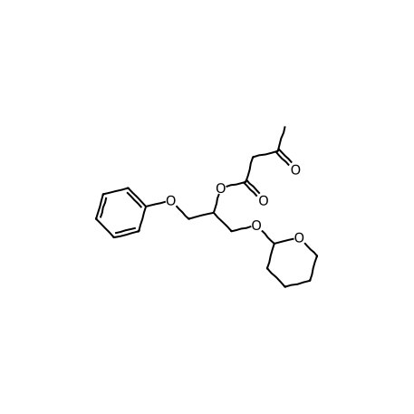 CC(=O)CC(=O)OC(COc1ccccc1)COC1CCCCO1